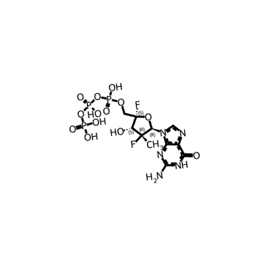 C[C@]1(F)[C@H](n2cnc3c(=O)[nH]c(N)nc32)O[C@](F)(COP(=O)(O)OP(=O)(O)OP(=O)(O)O)[C@H]1O